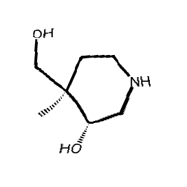 C[C@]1(CO)CCNC[C@@H]1O